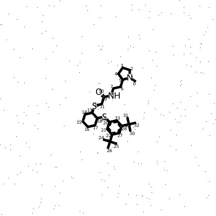 CN1CCCC1CCNC(=O)CSC1CCCCC1Sc1cc(C(C)(C)C)cc(C(C)(C)C)c1